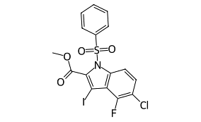 COC(=O)c1c(I)c2c(F)c(Cl)ccc2n1S(=O)(=O)c1ccccc1